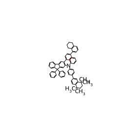 CC1(C)CCC(C)(C)c2cc(-c3ccc(N(c4ccccc4)c4cc5c(cc4-c4ccc(-c6cccc7c6CCCC7)cc4)-c4ccccc4C5(c4ccccc4)c4ccccc4)cc3)ccc21